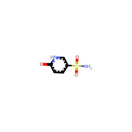 NS(=O)(=O)c1ccc(=O)[nH]c1